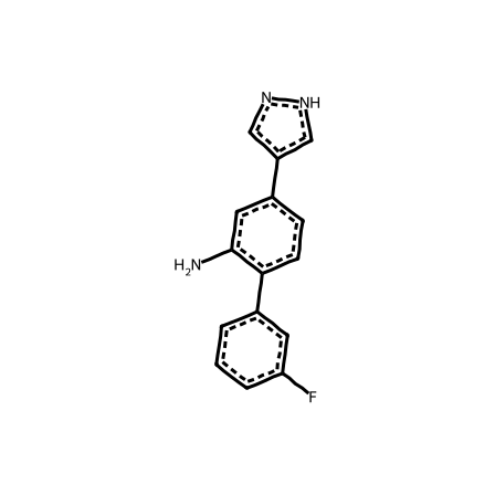 Nc1cc(-c2cn[nH]c2)ccc1-c1cccc(F)c1